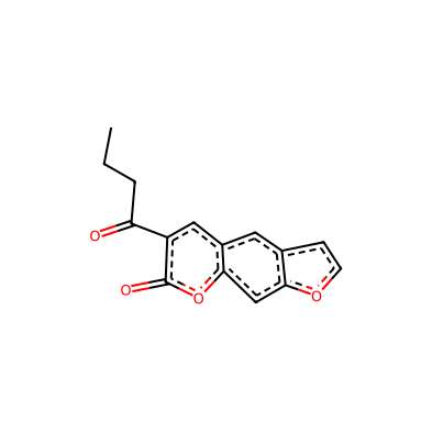 CCCC(=O)c1cc2cc3ccoc3cc2oc1=O